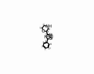 Cl.c1ccc(-c2nc(C3CNCCO3)no2)cc1